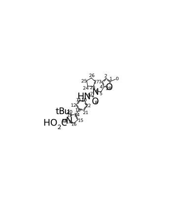 Cc1ccc(CN(C(=O)Nc2ccc(C3=CCN(C(=O)O)C3C(C)(C)C)cc2)C2CCCC2)o1